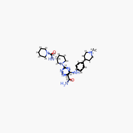 CC(=O)N1CCC(c2ccc(Nc3nc(N4CCC[C@@H](NC(=O)N5CCCCC5)C4)nnc3C(N)=O)cc2)CC1